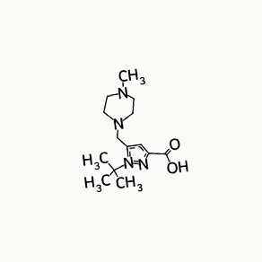 CN1CCN(Cc2cc(C(=O)O)nn2C(C)(C)C)CC1